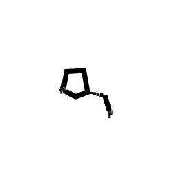 FC[C@H]1CC[N]C1